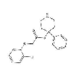 O=C(COc1ccccc1Cl)OC1(c2ccccc2)CCNCC1